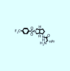 CCC[C@H](N)C(=O)N[C@H]1CC[C@@H]2CN(S(=O)(=O)c3ccc(C(F)(F)F)cc3)C[C@@H]21